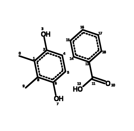 Cc1c(O)ccc(O)c1C.O=C(O)c1ccccc1